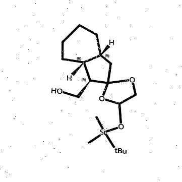 CC(C)(C)[Si](C)(C)OC1COC2(C[C@H]3CCCC[C@H]3[C@@H]2CO)O1